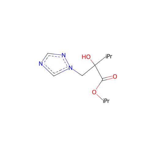 CC(C)OC(=O)C(O)(Cn1cncn1)C(C)C